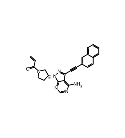 C=CC(=O)N1CC[C@@H](n2nc(C#Cc3ccc4ccccc4c3)c3c(N)ncnc32)C1